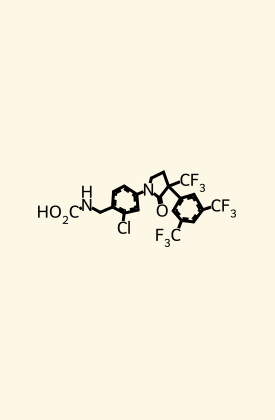 O=C(O)NCc1ccc(N2CCC(c3cc(C(F)(F)F)cc(C(F)(F)F)c3)(C(F)(F)F)C2=O)cc1Cl